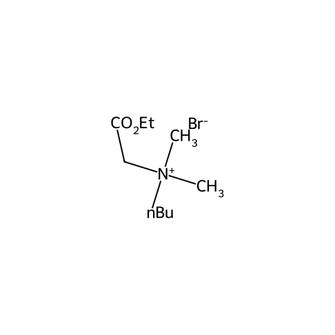 CCCC[N+](C)(C)CC(=O)OCC.[Br-]